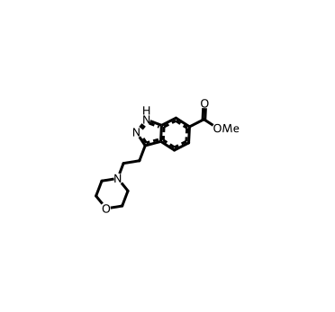 COC(=O)c1ccc2c(CCN3CCOCC3)n[nH]c2c1